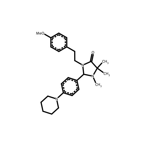 COc1ccc(CCN2C(=O)C(C)(C)N(C)C2c2ccc(N3CCCCC3)cc2)cc1